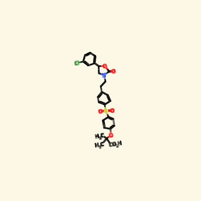 CC(C)(Oc1ccc(S(=O)(=O)c2ccc(CCN3CC(c4cccc(Cl)c4)OC3=O)cc2)cc1)C(=O)O